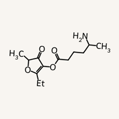 CCC1=C(OC(=O)CCCC(C)N)C(=O)C(C)O1